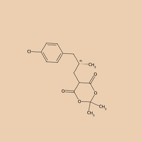 C[C@@H](Cc1ccc(Cl)cc1)CC1C(=O)OC(C)(C)OC1=O